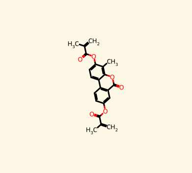 C=C(C)C(=O)Oc1ccc2c(c1)c(=O)oc1c(C)c(OC(=O)C(=C)C)ccc12